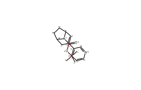 CC(C)(C)OC(=O)N1C2C=C(c3cccnc3)CC1CC2